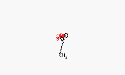 CCCCCCCCCc1cc(C(=O)O)c(O)c(C2CCCCC2)c1